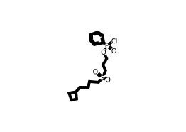 O=P(Cl)(OCCCS(=O)(=O)CCCCC1CCC1)c1ccccc1